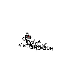 COc1cc(C(=O)N2CC3CCC2[C@@H]3N)cc2nc(-c3cc4ccc(-c5ccc(O)c(F)n5)nc4n3CC3CC3)n(C)c12